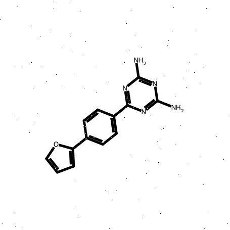 Nc1nc(N)nc(-c2ccc(-c3ccco3)cc2)n1